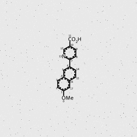 COc1ccc2cc(-c3ccc(C(=O)O)cn3)ccc2c1